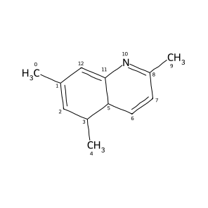 CC1=CC(C)C2C=CC(C)=NC2=C1